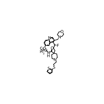 COc1ccc2ncc(CN3CCOCC3)c([C@H](F)CCC3(C(=O)NO)CCN(CCSc4cccs4)CC3)c2c1